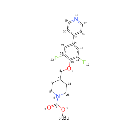 CC(C)(C)OC(=O)N1CCC(COc2c(F)cc(-c3ccncc3)cc2F)CC1